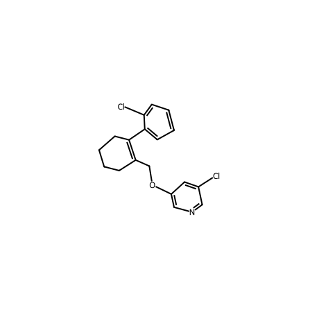 Clc1cncc(OCC2=C(c3ccccc3Cl)CCCC2)c1